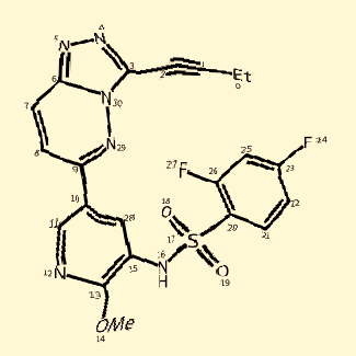 CCC#Cc1nnc2ccc(-c3cnc(OC)c(NS(=O)(=O)c4ccc(F)cc4F)c3)nn12